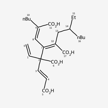 C=CC(C=CC(=O)O)(C(=O)O)C(C=C(CCCC)C(=O)O)=C(CC(CC)CCCC)C(=O)O